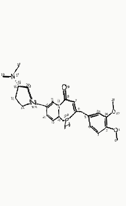 COc1ccc(C2=CC(=O)N3C=C(N4CC[C@H](N(C)C)C4)C=CC3P2)cc1OC